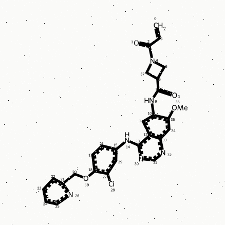 C=CC(=O)N1CC(C(=O)Nc2cc3c(Nc4ccc(OCc5ccccn5)c(Cl)c4)ncnc3cc2OC)C1